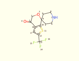 O=C1COC2(CCNCC2)c2sc(C(F)(F)F)cc21